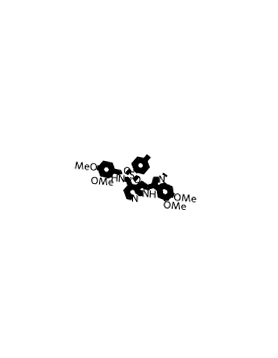 COc1ccc(CNC(c2ccnc3[nH]c(-c4cn(C)c5cc(OC)c(OC)cc45)cc23)S(=O)(=O)c2ccc(C)cc2)c(OC)c1